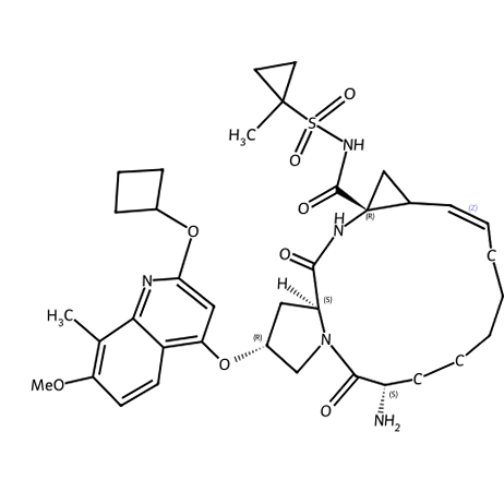 COc1ccc2c(O[C@@H]3C[C@H]4C(=O)N[C@]5(C(=O)NS(=O)(=O)C6(C)CC6)CC5/C=C\CCCCC[C@H](N)C(=O)N4C3)cc(OC3CCC3)nc2c1C